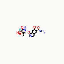 CC[C@@]1(O)[C@@H](COc2nccc3cc(C(N)=O)c(OC)cc23)NC(=O)[C@@]1(O)F